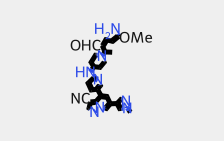 CO/C(N)=C/C=C(/C=O)C(C)N1CCC(Nc2ccc(-c3cc(-c4cnn(C)c4)cn4ncc(C#N)c34)cn2)CC1